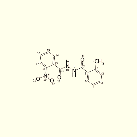 Cc1ccccc1C(=O)NNC(=O)c1ccccc1[N+](=O)[O-]